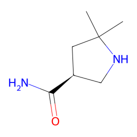 CC1(C)C[C@H](C(N)=O)CN1